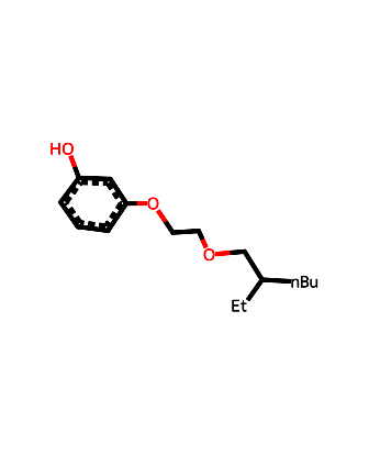 CCCCC(CC)COCCOc1cccc(O)c1